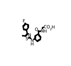 Cc1sc(Nc2cccc(C(=O)NCC(=O)O)c2)nc1-c1ccc(F)cc1